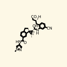 C[C@H]1[C@@H](C(O)Nc2cc(C#N)ccc2CCCC(=O)O)[C@@]12CCc1ccc(C(=O)Nc3cnn(C)c3)cc12